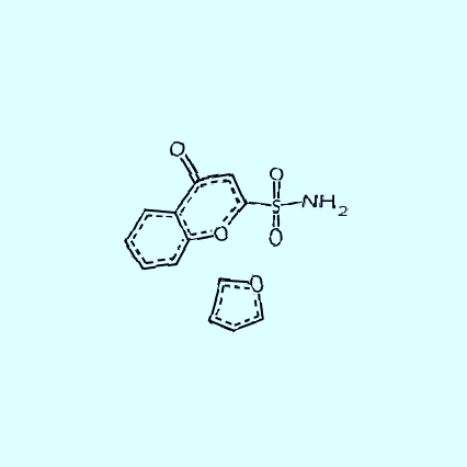 NS(=O)(=O)c1cc(=O)c2ccccc2o1.c1ccoc1